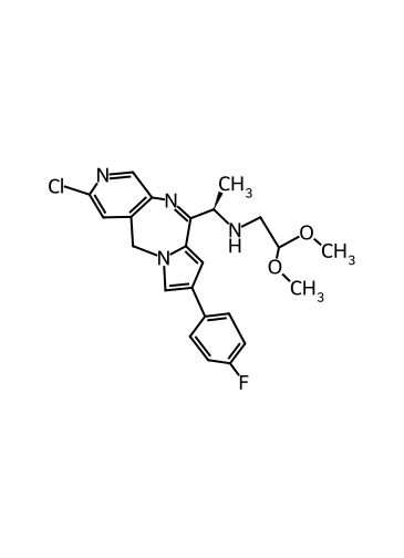 COC(CN[C@H](C)C1=Nc2cnc(Cl)cc2Cn2cc(-c3ccc(F)cc3)cc21)OC